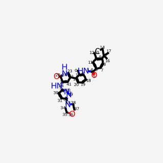 Cc1c(NC(=O)c2ccc3c(c2)CCCC3(C)C)cccc1-c1c[nH]c(=O)c(Nc2ccc(N3CCOCC3)nn2)c1